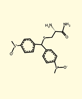 C[S+]([O-])c1ccc(C(SC[C@H](N)C(N)=O)c2ccc([S+](C)[O-])cc2)cc1